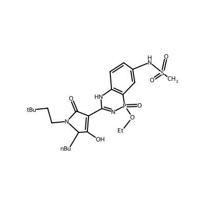 CCCCC1C(O)=C(C2=NP(=O)(OCC)c3cc(NS(C)(=O)=O)ccc3N2)C(=O)N1CCC(C)(C)C